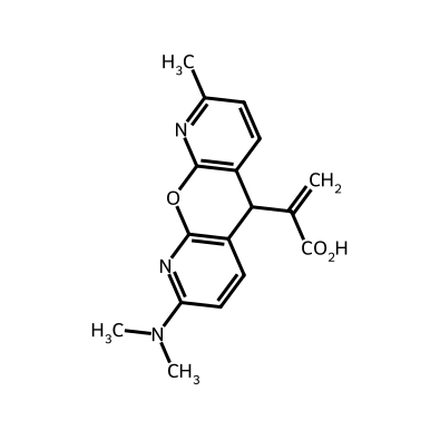 C=C(C(=O)O)C1c2ccc(C)nc2Oc2nc(N(C)C)ccc21